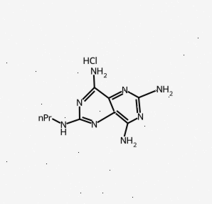 CCCNc1nc(N)c2nc(N)nc(N)c2n1.Cl